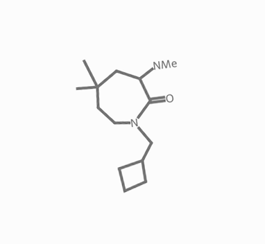 CNC1CC(C)(C)CCN(CC2CCC2)C1=O